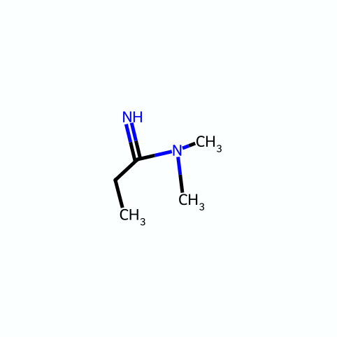 CCC(=N)N(C)C